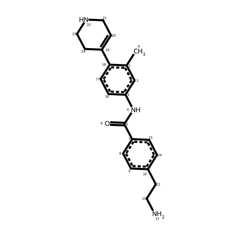 Cc1cc(NC(=O)c2ccc(CCN)cc2)ccc1C1=CCNCC1